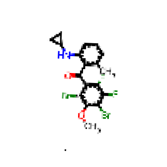 COc1c(Br)c(F)c(F)c(C(=O)c2c(C)cccc2NC2CC2)c1Br